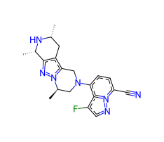 C[C@@H]1Cc2c(nn3c2CN(c2ccc(C#N)n4ncc(F)c24)C[C@H]3C)[C@H](C)N1